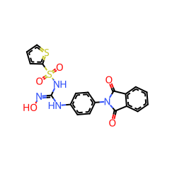 O=C1c2ccccc2C(=O)N1c1ccc(N/C(=N\O)NS(=O)(=O)c2cccs2)cc1